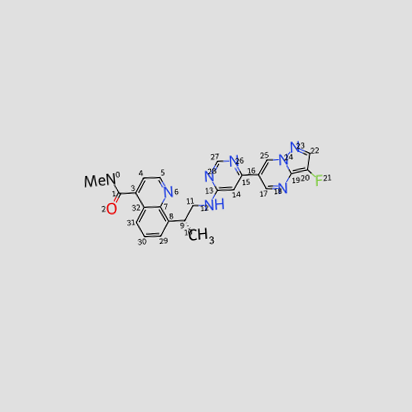 CNC(=O)c1ccnc2c([C@@H](C)CNc3cc(-c4cnc5c(F)cnn5c4)ncn3)cccc12